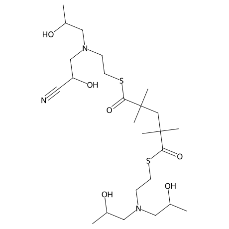 CC(O)CN(CCSC(=O)C(C)(C)CC(C)(C)C(=O)SCCN(CC(C)O)CC(O)C#N)CC(C)O